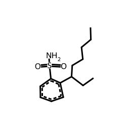 CCCCCC(CC)c1ccccc1S(N)(=O)=O